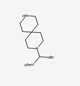 CCCCCC(CCCC)N1CCC2(CCNCC2)CC1